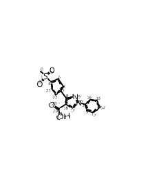 CS(=O)(=O)c1ccc(-c2nn(-c3ccccc3)cc2C(=O)O)cc1